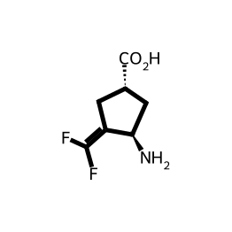 N[C@@H]1C[C@@H](C(=O)O)CC1=C(F)F